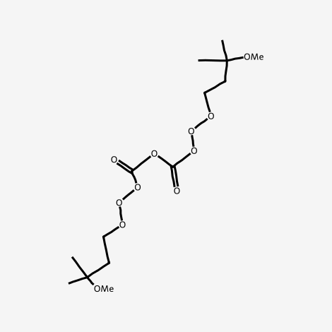 COC(C)(C)CCOOOC(=O)OC(=O)OOOCCC(C)(C)OC